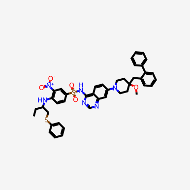 CCC(CSc1ccccc1)Nc1ccc(S(=O)(=O)Nc2ncnc3cc(N4CCC(Cc5ccccc5-c5ccccc5)(OC)CC4)ccc23)cc1[N+](=O)[O-]